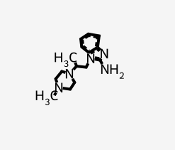 CC(Cn1c(N)nc2ccccc21)N1CCN(C)CC1